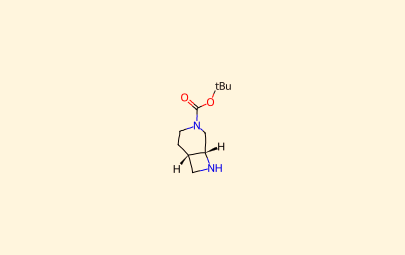 CC(C)(C)OC(=O)N1CC[C@H]2CN[C@H]2C1